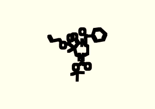 C=CCOC(=O)C1(C)CN(C(=O)OC(C)(C)C)CCN(C(=O)c2ccccc2)C1=O